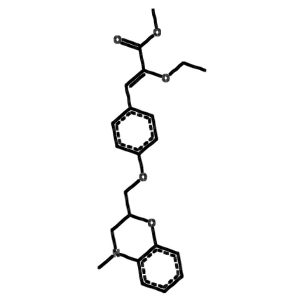 CCOC(=Cc1ccc(OCC2CN(C)c3ccccc3O2)cc1)C(=O)OC